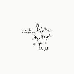 CCOC(=O)c1nc(C(F)(F)C(=O)OCC)c2ccccc2c1C